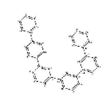 c1ccc(-c2ccc(-c3ncnc(-c4cccc(-c5cccc(-c6ccccc6)c5)c4)n3)cc2)cc1